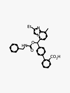 CCc1cn2c(C(OC(=O)NCc3ccccc3)c3ccc(-c4ccccc4C(=O)O)cc3)ccc(C)c2n1